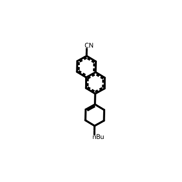 CCCCC1CC=C(c2ccc3cc(C#N)ccc3c2)CC1